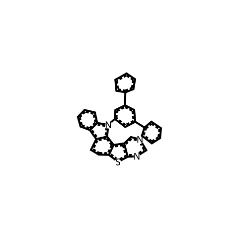 c1ccc(-c2cc(-c3ccccc3)cc(-n3c4ccccc4c4ccc5sc6ncncc6c5c43)c2)cc1